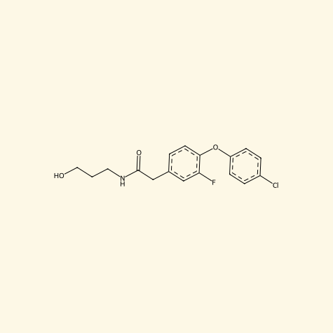 O=C(Cc1ccc(Oc2ccc(Cl)cc2)c(F)c1)NCCCO